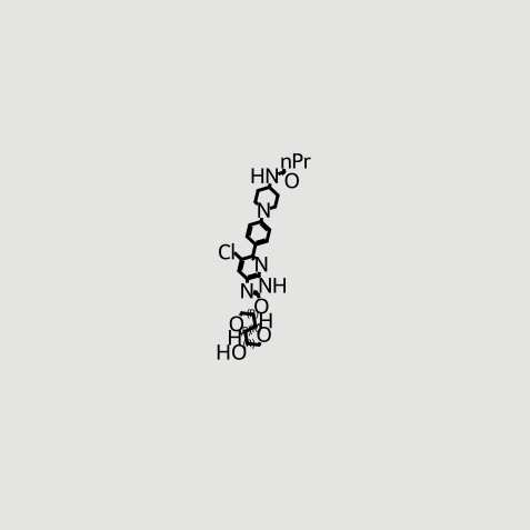 CCCC(=O)NC1CCN(c2ccc(-c3nc4[nH]c(O[C@@H]5CO[C@H]6[C@@H]5OC[C@H]6O)nc4cc3Cl)cc2)CC1